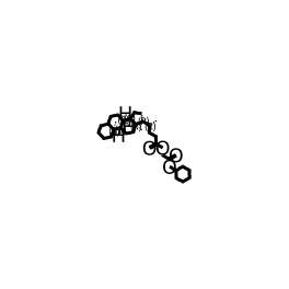 C[C@H](CCC(=O)OCC(=O)OC1CCCCC1)[C@H]1CC[C@H]2[C@@H]3CCC4CCCC[C@]4(C)[C@H]3CC[C@]12C